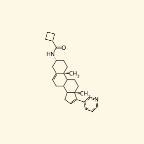 C[C@]12CC[C@@H](NC(=O)C3CCC3)CC1=CCC1C2CC[C@]2(C)C(c3cccnc3)=CCC12